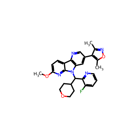 COc1ccc2c3ncc(-c4c(C)noc4C)cc3n(C(c3ncccc3F)C3CCOCC3)c2n1